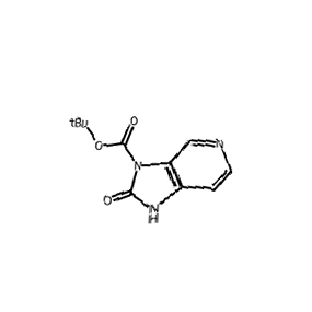 CC(C)(C)OC(=O)n1c(=O)[nH]c2ccncc21